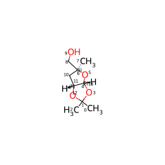 CC1(C)O[C@H]2O[C@](C)(CO)C[C@H]2O1